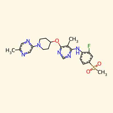 Cc1cnc(N2CCC(Oc3ncnc(Nc4ccc(S(C)(=O)=O)cc4F)c3C)CC2)cn1